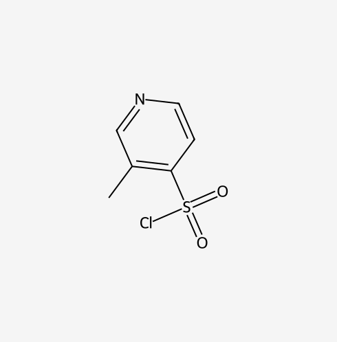 Cc1cnccc1S(=O)(=O)Cl